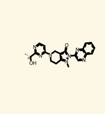 C[C@@H](O)c1nccc(N2CCc3c(c(=O)n(-c4cnc5ccccc5n4)n3C)C2)n1